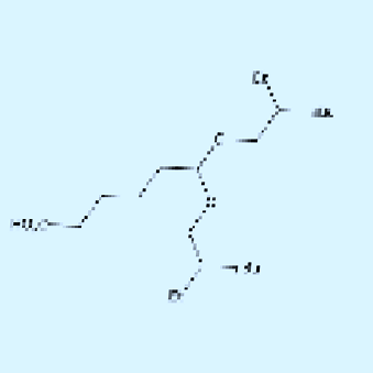 CCCCC(CC)COC(CCCCC(=O)O)OCC(CC)CCCC